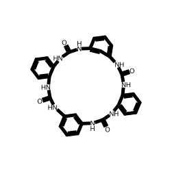 O=c1[nH]c2cccc(c2)[nH]c(=O)[nH]c2ccccc2[nH]c(=O)[nH]c2cccc(c2)[nH]c(=O)[nH]c2ccccc2[nH]1